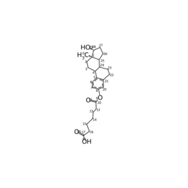 C[C@]12CCC3c4ccc(OC(=O)CCCCCC(=O)O)cc4CCC3C1CC[C@@H]2O